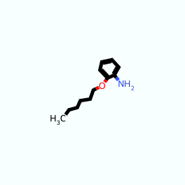 CCCCCCOc1ccccc1N